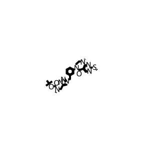 CSc1ncc2c(n1)N(C)CCN(c1cccc(Cn3cc(CN(C)C(=O)OC(C)(C)C)nn3)c1)C2=O